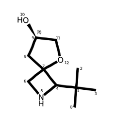 CC(C)(C)C1NCC12C[C@@H](O)CO2